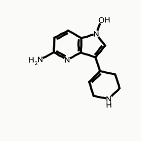 Nc1ccc2c(n1)c(C1=CCNCC1)cn2O